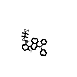 CC(C)(O)C(C)(C)OBC1=CCCc2oc3cc(N(c4ccccc4)c4ccccc4)c4ccccc4c3c21